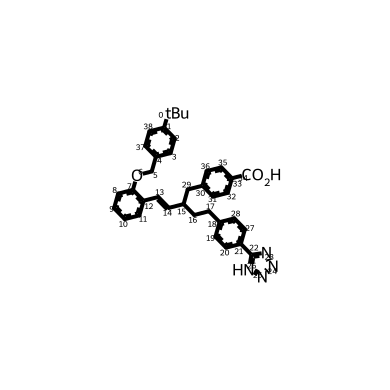 CC(C)(C)c1ccc(COc2ccccc2C=CC(CCc2ccc(-c3nnn[nH]3)cc2)Cc2ccc(C(=O)O)cc2)cc1